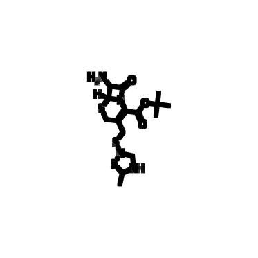 CC1NCN(SCC2=C(C(=O)OC(C)(C)C)N3C(=O)C(N)[C@H]3SC2)S1